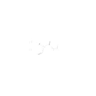 CC(C)NC(=O)N([C]=O)C(C)(C)C